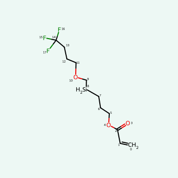 C=CC(=O)OCCC[SiH2]COCCCC(F)(F)F